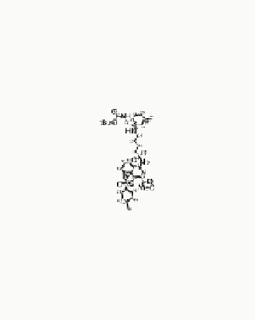 COC(=O)c1nc(N(C)S(=O)(=O)CCCCNc2cc(F)ccc2CNC(=O)OC(C)(C)C)c2cccnc2c1OS(=O)(=O)c1ccc(C)cc1